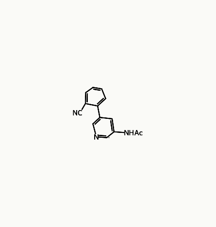 CC(=O)Nc1[c]ncc(-c2ccccc2C#N)c1